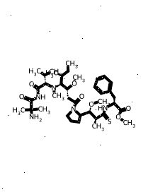 CC[C@H](C)[C@@H]([C@@H](CC(=O)N1CCCC1[C@H](OC)[C@H](C)C(=S)N[C@@H](Cc1ccccc1)C(=O)OC)OC)N(C)[C@H](C(=O)NC(=O)C(C)(C)N)C(C)C